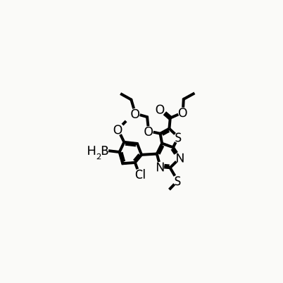 Bc1cc(Cl)c(-c2nc(SC)nc3sc(C(=O)OCC)c(OCOCC)c23)cc1OC